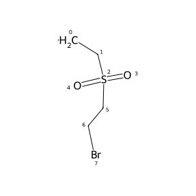 [CH2]CS(=O)(=O)CCBr